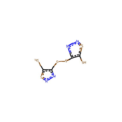 Sc1snnc1SSc1nnsc1S